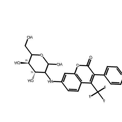 O=c1oc2cc(NC3C(O)OC(CO)[C@H](O)[C@H]3O)ccc2c(C(F)(F)F)c1-c1ccncc1